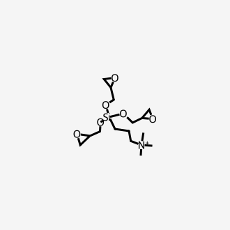 C[N+](C)(C)CCC[Si](OCC1CO1)(OCC1CO1)OCC1CO1